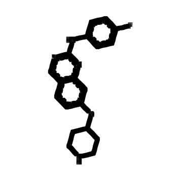 Fc1ccc(Nc2ncc3ccc(OC4CCNCC4)cc3n2)cc1